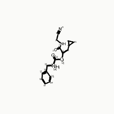 N#CCNC(=O)C(CC1CC1)OC(=O)NCc1ccccc1